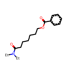 CCN(CC)C(=O)CCCCCCOC(=O)c1ccccc1